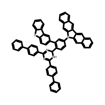 c1ccc(-c2ccc(C3=NC(c4ccc(-n5c6cc7ccccc7cc6c6cc7ccccc7cc65)cc4-c4ccc5oc6ccccc6c5c4)NC(c4ccc(-c5ccccc5)cc4)=N3)cc2)cc1